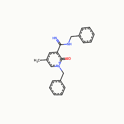 Cc1cc(C(=N)NCc2ccccc2)c(=O)n(Cc2ccccc2)c1